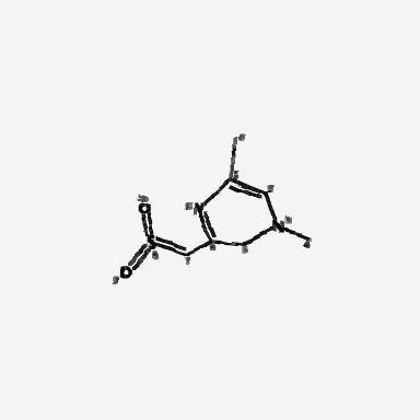 CC1=CN(C)CC(C=S(=O)=O)=N1